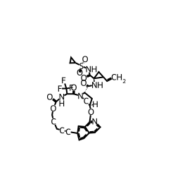 C=CC1C[C@@]1(NC(=O)[C@@H]1C[C@@H]2CN1C(=O)C(C(F)(F)F)NC(=O)OCCCCCc1ccc3ccnc(c3c1)O2)C(=O)NS(=O)(=O)C1CC1